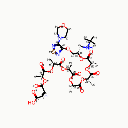 C[C@H](OC(=O)/C=C\C(=O)O)C(=O)O[C@@H](C)C(=O)O[C@@H](C)C(=O)O[C@@H](C)C(=O)O[C@@H](C)C(=O)O[C@@H](C)C(=O)O[C@@H](CNC(C)(C)C)COc1nsnc1N1CCOCC1